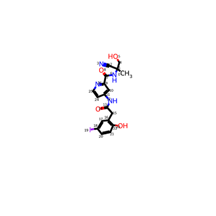 CC(C#N)(CO)NC(=O)c1cc(NC(=O)Cc2cc(I)ccc2O)ccn1